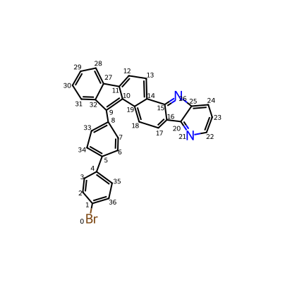 Brc1ccc(-c2ccc(C3=c4c(ccc5c6c(ccc45)-c4ncccc4N=6)-c4ccccc43)cc2)cc1